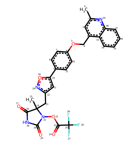 Cc1cc(COc2ccc(-c3cc(CC4(C)C(=O)NC(=O)N4OC(=O)C(F)(F)F)no3)cc2)c2ccccc2n1